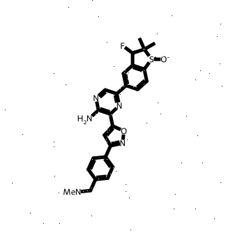 CNCc1ccc(-c2cc(-c3nc(-c4ccc5c(c4)C(F)C(C)(C)[S+]5[O-])cnc3N)on2)cc1